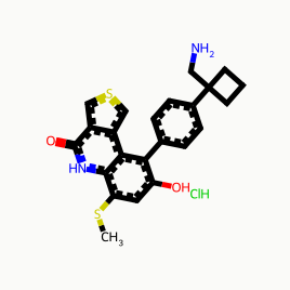 CSc1cc(O)c(-c2ccc(C3(CN)CCC3)cc2)c2c1[nH]c(=O)c1cscc12.Cl